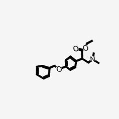 CCOC(=O)C(CN(C)C)c1ccc(OCc2ccccc2)cc1